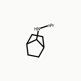 CCCNC1C2CCC1CC2